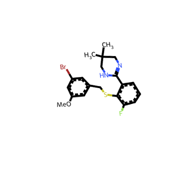 COc1cc(Br)cc(CSc2c(F)cccc2C2=NCC(C)(C)CN2)c1